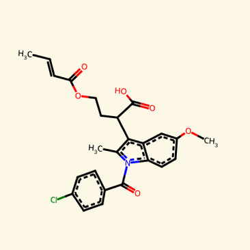 CC=CC(=O)OCCC(C(=O)O)c1c(C)n(C(=O)c2ccc(Cl)cc2)c2ccc(OC)cc12